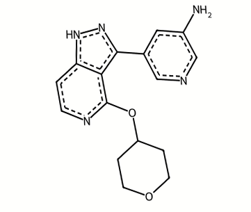 Nc1cncc(-c2n[nH]c3ccnc(OC4CCOCC4)c23)c1